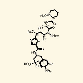 CCCCCCN(C(=O)[C@@H](NC(=O)[C@H]1CCCCN1C)[C@@H](C)CC)[C@H](C[C@@H](OC(C)=O)c1nc(C(=O)NC(Cc2ccc(N)c(F)c2)CC(C)(C)C(=O)O)cs1)C(C)C